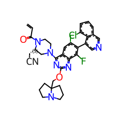 C=CC(=O)N1CCN(c2nc(OCC34CCCN3CCC4)nc3c(F)c(-c4cncc5cccc(Cl)c45)c(F)cc23)C[C@@H]1CC#N